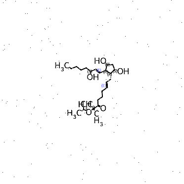 CCCCC[C@H](O)/C=C/[C@@H]1[C@@H](C/C=C/CCCC(=O)C(C)(C)OC(C)C)[C@@H](O)C[C@H]1O